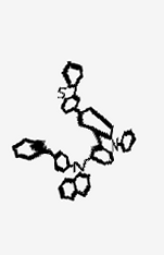 c1ccc(-c2ccc(N(c3ccc4c(c3)c3cc(-c5ccc6sc7ccccc7c6c5)ccc3n4-c3ccccc3)c3cccc4ccccc34)cc2)cc1